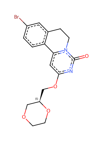 O=c1nc(OC[C@@H]2COCCO2)cc2n1CCc1cc(Br)ccc1-2